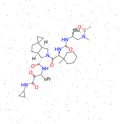 CCCC(NC(=O)[C@@H]1[C@H]2CCC3(CC3)[C@H]2CN1C(=O)[C@@H](NC(=O)N[C@H](CN(C)[S+](C)[O-])C(C)(C)C)C1(C)CCCCC1)C(=O)C(=O)NC1CC1